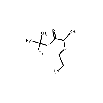 CC(OCCN)C(=O)OC(C)(C)C